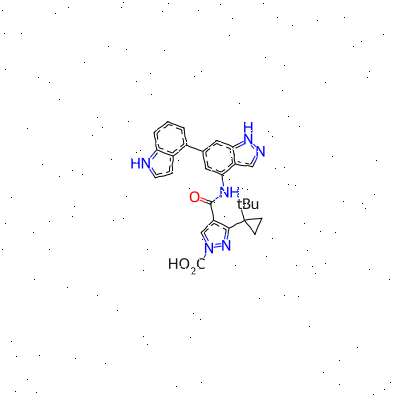 CC(C)(C)C1(c2nn(C(=O)O)cc2C(=O)Nc2cc(-c3cccc4[nH]ccc34)cc3[nH]ncc23)CC1